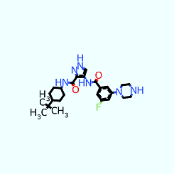 CC(C)(C)C1CCC(NC(=O)c2n[nH]cc2NC(=O)c2cc(F)cc(N3CCNCC3)c2)CC1